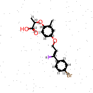 Cc1cc(OCC=C(I)c2ccc(Br)cc2)ccc1OC(C)C(=O)O